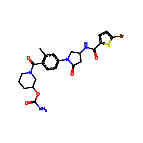 Cc1cc(N2CC(NC(=O)c3ccc(Br)s3)CC2=O)ccc1C(=O)N1CCCC(OC(N)=O)C1